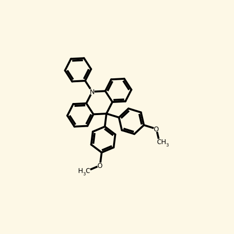 COc1ccc(C2(c3ccc(OC)cc3)c3ccccc3N(c3ccccc3)c3ccccc32)cc1